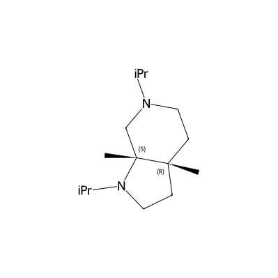 CC(C)N1CC[C@]2(C)CCN(C(C)C)[C@]2(C)C1